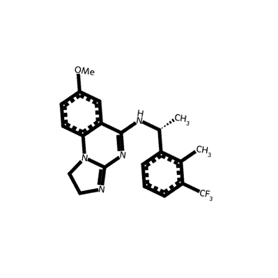 COc1ccc2c(c1)C(N[C@H](C)c1cccc(C(F)(F)F)c1C)=NC1=NCCN12